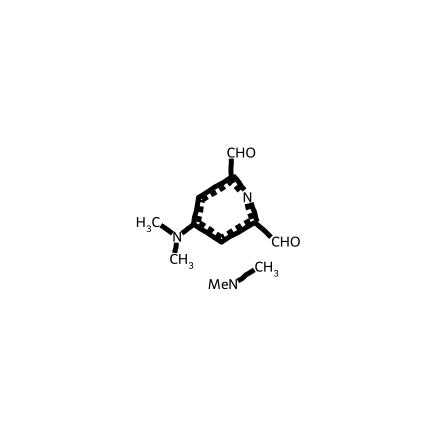 CN(C)c1cc(C=O)nc(C=O)c1.CNC